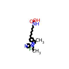 CCCN(c1ccncc1F)n1cc(C)c2cc(CCCCCCCNC(=O)O)ccc21